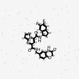 O=C1COc2ccc(CNC(=O)c3cc(C(=O)N[C@H]4CCc5cc(F)c(F)cc54)n4nccc4n3)cc2N1